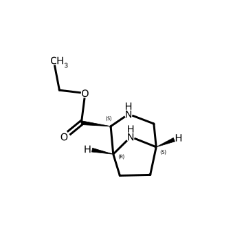 CCOC(=O)[C@H]1NC[C@@H]2CC[C@H]1N2